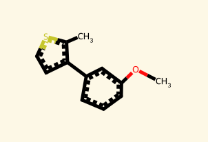 COc1cccc(-c2ccsc2C)c1